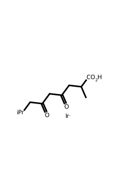 CC(C)CC(=O)CC(=O)CC(C)C(=O)O.[Ir]